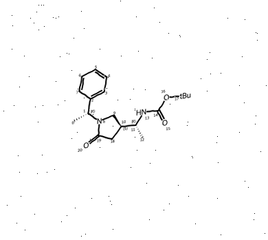 C[C@H](c1ccccc1)N1C[C@@H]([C@@H](C)NC(=O)OC(C)(C)C)CC1=O